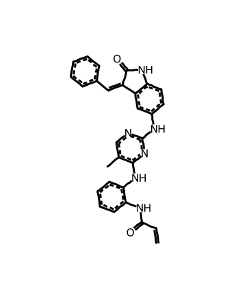 C=CC(=O)Nc1ccccc1Nc1nc(Nc2ccc3c(c2)/C(=C/c2ccccc2)C(=O)N3)ncc1C